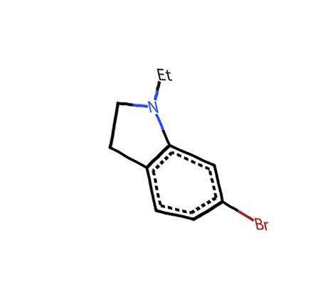 CCN1CCc2ccc(Br)cc21